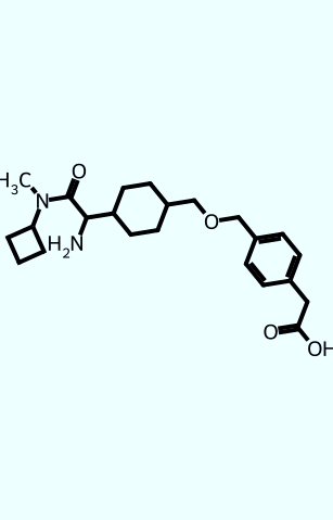 CN(C(=O)C(N)C1CCC(COCc2ccc(CC(=O)O)cc2)CC1)C1CCC1